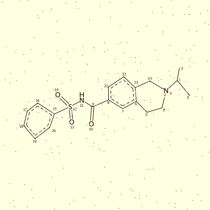 CC(C)N1CCc2cc(C(=O)NS(=O)(=O)c3ccccc3)ccc2C1